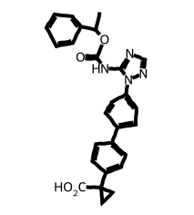 CC(OC(=O)Nc1ncnn1-c1ccc(-c2ccc(C3(C(=O)O)CC3)cc2)cc1)c1ccccc1